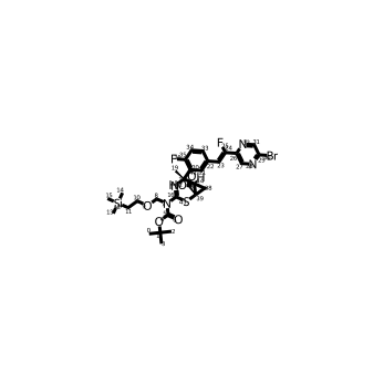 CC(C)(C)OC(=O)N(COCC[Si](C)(C)C)C1=N[C@](C)(c2cc(/C=C(\F)c3cnc(Br)cn3)ccc2F)[C@@H]2C[C@]2(C(=O)O)S1